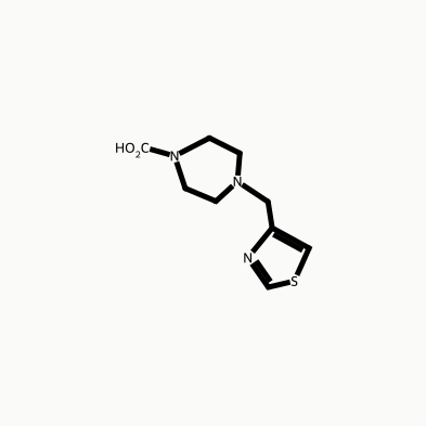 O=C(O)N1CCN(Cc2cscn2)CC1